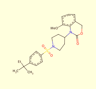 CCC(C)(C)c1ccc(S(=O)(=O)N2CCC(N3C(=O)OCc4cccc(OC)c43)CC2)cc1